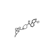 N#C[C@@H]1C[C@H](F)CN1C(=O)CN1CCC(Nc2cccc3c(Cl)nccc23)CC1